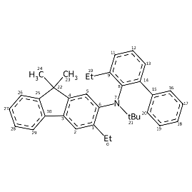 CCc1cc2c(cc1N(c1c(CC)cccc1-c1ccccc1)C(C)(C)C)C(C)(C)c1ccccc1-2